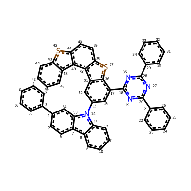 c1ccc(-c2ccc3c4ccccc4n(-c4cc(-c5nc(-c6ccccc6)nc(-c6ccccc6)n5)c5sc6ccc7sc8ccccc8c7c6c5c4)c3c2)cc1